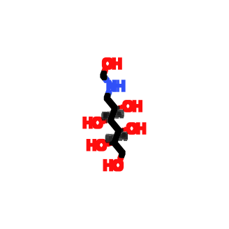 OCNC[C@H](O)[C@@H](O)[C@H](O)[C@H](O)CO